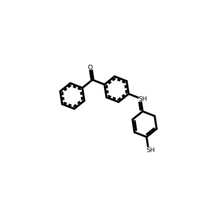 O=C(c1ccccc1)c1ccc([SH]=C2C=CC(S)=CC2)cc1